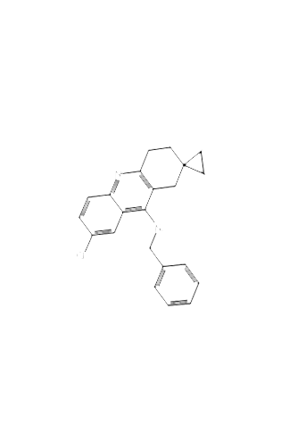 Clc1ccc2nc3c(c(NCc4ccccc4)c2c1)CC1(CC3)CC1